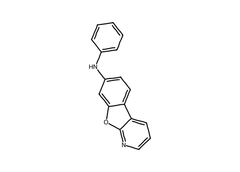 c1ccc(Nc2ccc3c(c2)oc2ncccc23)cc1